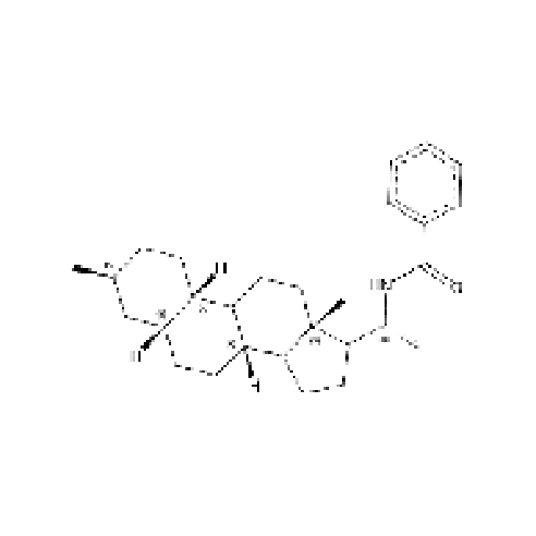 C[C@H]1CC[C@@H]2C3CC[C@@]4(C)C(CCC4[C@@H](C)NC(=O)c4ccccc4)[C@@H]3CC[C@@H]2C1